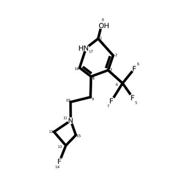 OC1C=C(C(F)(F)F)C(CCN2CC(F)C2)=CN1